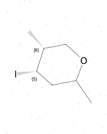 CC1C[C@H](I)[C@H](C)CO1